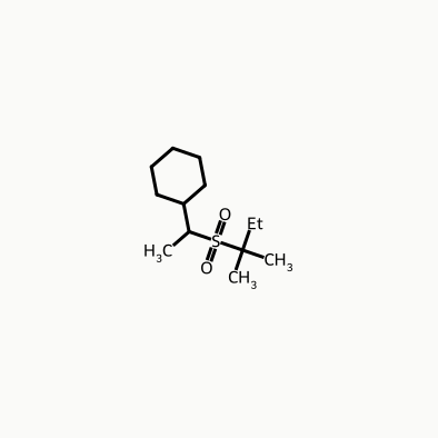 CCC(C)(C)S(=O)(=O)C(C)C1CCCCC1